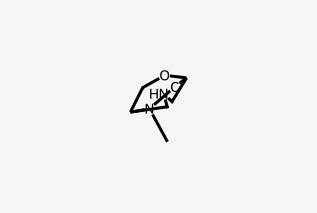 CN1CC2CNCC1CO2